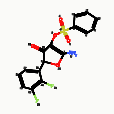 NC1=C(OS(=O)(=O)c2ccccc2)C(=O)C(c2cccc(F)c2F)O1